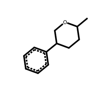 CC1CCC(c2ccccc2)CO1